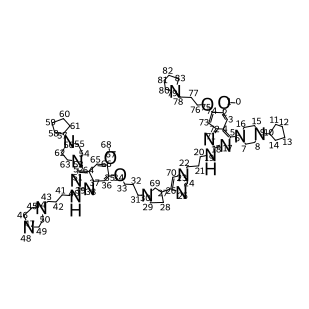 COc1cc2c(N3CCN(C4CCCC4)CC3)nc(NCCCn3cnc(C4CCN(CCCOc5cc6nc(NCCCN7CCN(C)CC7)nc(N7CCN(C8CCCC8)CC7)c6cc5OC)C4)c3)nc2cc1OCCCN1CCCC1